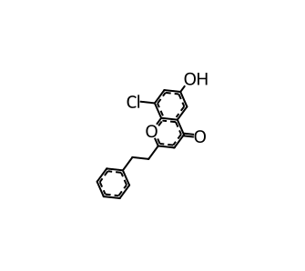 O=c1cc(CCc2ccccc2)oc2c(Cl)cc(O)cc12